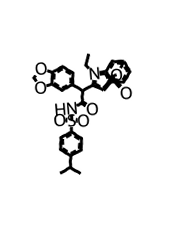 CCn1c(C(C(=O)NS(=O)(=O)c2ccc(C(C)C)cc2)c2ccc3c(c2)OCO3)c2c3ccc(cc31)OC2=O